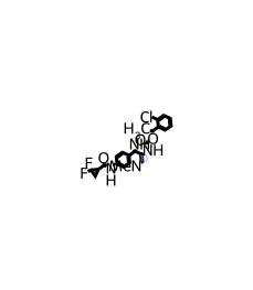 CN/C=C(/NC(=O)OC(C)c1ccccc1Cl)C(=N)c1ccc(NC(=O)C2CC2(F)F)cc1